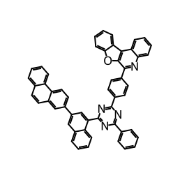 c1ccc(-c2nc(-c3ccc(-c4nc5ccccc5c5c4oc4ccccc45)cc3)nc(-c3cc(-c4ccc5c(ccc6ccccc65)c4)cc4ccccc34)n2)cc1